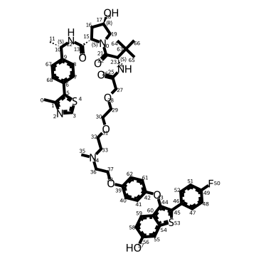 Cc1ncsc1-c1ccc([C@H](C)NC(=O)[C@@H]2C[C@@H](O)CN2C(=O)[C@@H](NC(=O)COCCOCCN(C)CCOc2ccc(Oc3c(-c4ccc(F)cc4)sc4cc(O)ccc34)cc2)C(C)(C)C)cc1